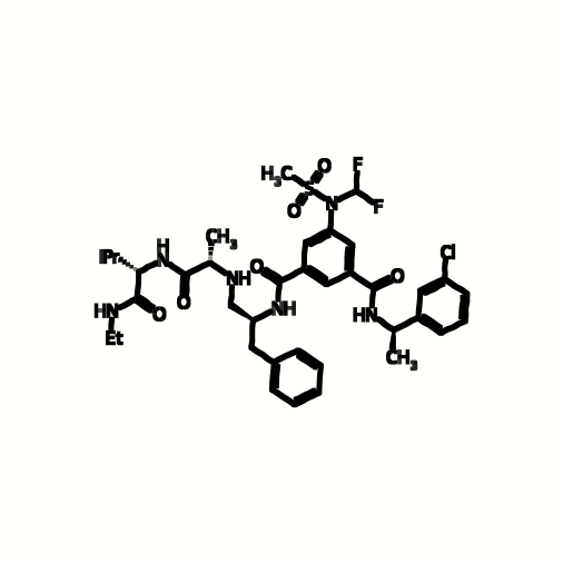 CCNC(=O)[C@@H](NC(=O)[C@H](C)NC[C@H](Cc1ccccc1)NC(=O)c1cc(C(=O)N[C@H](C)c2cccc(Cl)c2)cc(N(C(F)F)S(C)(=O)=O)c1)C(C)C